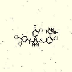 COc1cc(-n2c(SCc3ccc(Cl)c(-c4nnn[nH]4)c3)nnc2C(C)(C)c2ccc(Cl)c(OC)c2)ccc1F